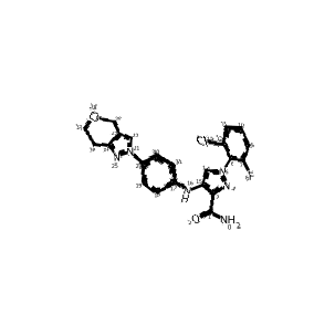 NC(=O)c1nn(-c2c(F)cccc2Cl)cc1Nc1ccc(-n2cc3c(n2)CCOC3)cc1